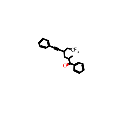 CC(CC(C#Cc1ccccc1)CC(F)(F)F)C(=O)c1ccccc1